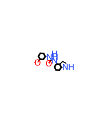 COc1cccc(NC(=O)Nc2cccc3c2CCN3)c1